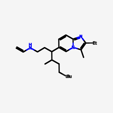 C=CNCCC(c1ccc2nc(CC)c(C)n2c1)C(C)CCC(C)(C)C